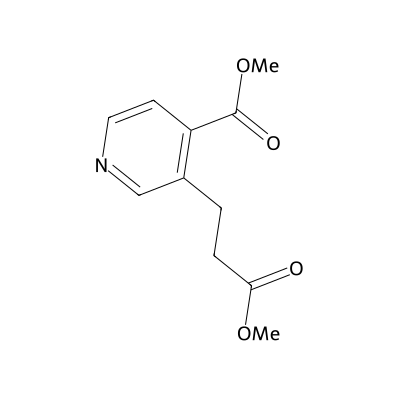 COC(=O)CCc1cnccc1C(=O)OC